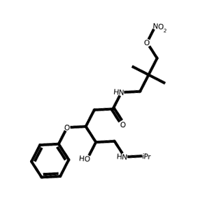 CC(C)NCC(O)C(CC(=O)NCC(C)(C)CO[N+](=O)[O-])Oc1ccccc1